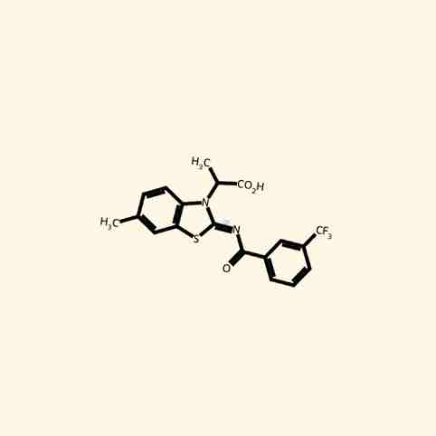 Cc1ccc2c(c1)s/c(=N\C(=O)c1cccc(C(F)(F)F)c1)n2C(C)C(=O)O